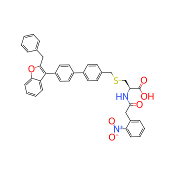 O=C(Cc1ccccc1[N+](=O)[O-])N[C@@H](CSCc1ccc(-c2ccc(-c3c(Cc4ccccc4)oc4ccccc34)cc2)cc1)C(=O)O